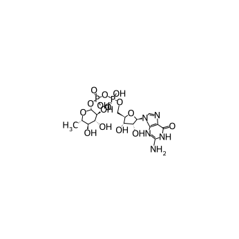 C[C@@H]1O[C@H](OP(=O)(O)OP(=O)(O)OC[C@H]2O[C@@H](n3cnc4c(=O)[nH]c(N)nc43)[C@H](O)[C@@H]2O)[C@@H](O)[C@H](O)[C@H]1O